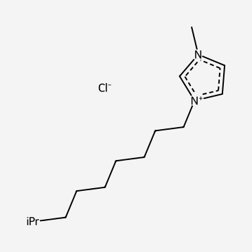 CC(C)CCCCCCC[n+]1ccn(C)c1.[Cl-]